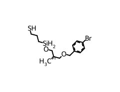 C[C@H](COCc1ccc(Br)cc1)CO[SiH2]CCCS